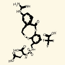 N=C(N)Nc1ccc2c(c1)CCCOc1c(CNS(=O)(=O)N[C@@H](CC(=O)O)C(=O)O)cccc1OC2=O.O=C(O)C(F)(F)F